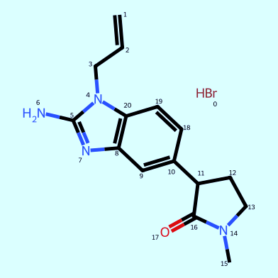 Br.C=CCn1c(N)nc2cc(C3CCN(C)C3=O)ccc21